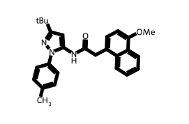 COc1ccc(CC(=O)Nc2cc(C(C)(C)C)nn2-c2ccc(C)cc2)c2ccccc12